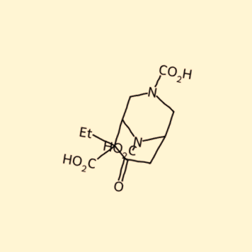 CCC1(C(=O)O)C(=O)CC2CN(C(=O)O)CC1N2C(=O)O